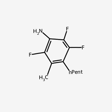 CCCCCc1c(C)c(F)c(N)c(F)c1F